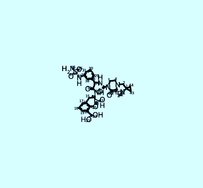 NC1(CN2CCN(C(=O)NC(C(=O)N[C@H]3Cc4cccc(C(O)O)c4OB3O)c3cccc(NS(N)(=O)=O)c3)C(=O)C2=O)CC1